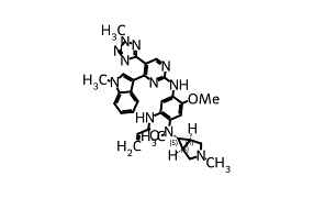 C=CC(=O)Nc1cc(Nc2ncc(-c3nnn(C)n3)c(-c3cn(C)c4ccccc34)n2)c(OC)cc1N(C)[C@H]1[C@@H]2CN(C)C[C@@H]21